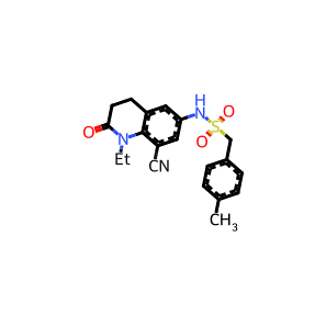 CCN1C(=O)CCc2cc(NS(=O)(=O)Cc3ccc(C)cc3)cc(C#N)c21